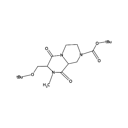 CN1C(=O)C2CN(C(=O)OC(C)(C)C)CCN2C(=O)C1COC(C)(C)C